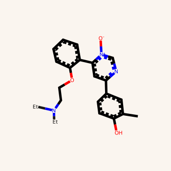 CCN(CC)CCOc1ccccc1-c1cc(-c2ccc(O)c(C)c2)nc[n+]1[O-]